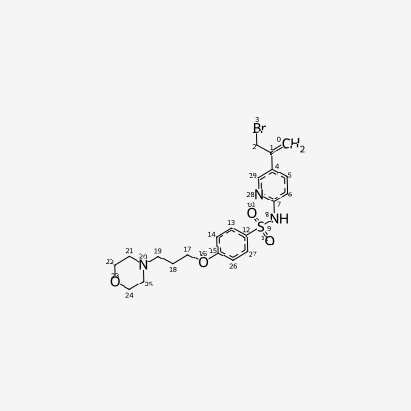 C=C(CBr)c1ccc(NS(=O)(=O)c2ccc(OCCCN3CCOCC3)cc2)nc1